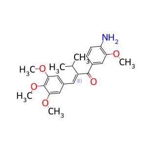 COc1cc(C(=O)/C(=C/c2cc(OC)c(OC)c(OC)c2)C(C)C)ccc1N